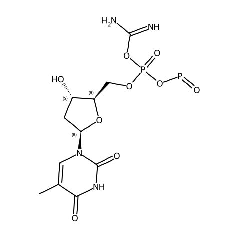 Cc1cn([C@H]2C[C@H](O)[C@@H](COP(=O)(OP=O)OC(=N)N)O2)c(=O)[nH]c1=O